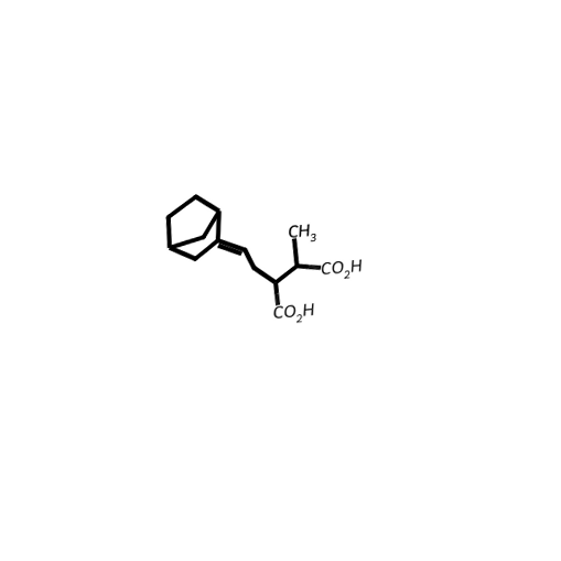 CC(C(=O)O)C(CC=C1CC2CCC1C2)C(=O)O